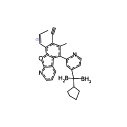 BC(B)(c1ccnc(-c2c(C)c(C#C)c(/C=C\C)c3oc4ncccc4c23)c1)C1CCCC1